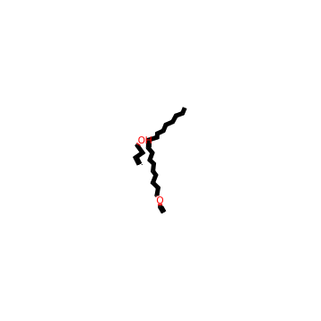 C=COCCCCCCCC/C=C\CCCCCCCC.[CH]=CCCO